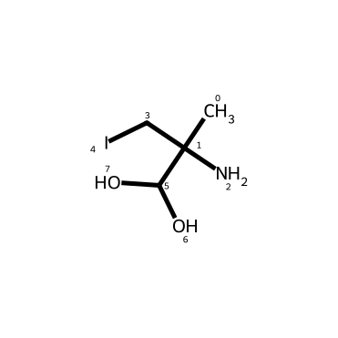 CC(N)(CI)C(O)O